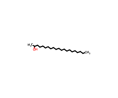 CCCCCCCCCCCCCCCCC[CH]CC(C)O